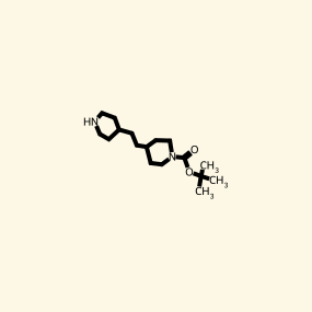 CC(C)(C)OC(=O)N1CCC(CCC2CCNCC2)CC1